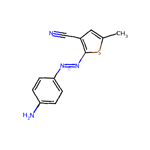 Cc1cc(C#N)c(/N=N/c2ccc(N)cc2)s1